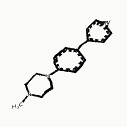 CN1CCN(c2ccc(-c3ccncc3)cc2)CC1